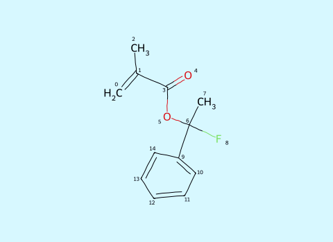 C=C(C)C(=O)OC(C)(F)c1ccccc1